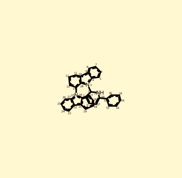 C1=CC(n2c3ccccc3c3cccc(-n4c5ccccc5c5ccccc54)c32)NC(c2ccccc2)=C1